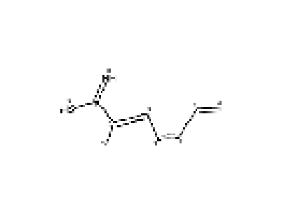 C=C/C=C\C=C(/C)C(=N)S